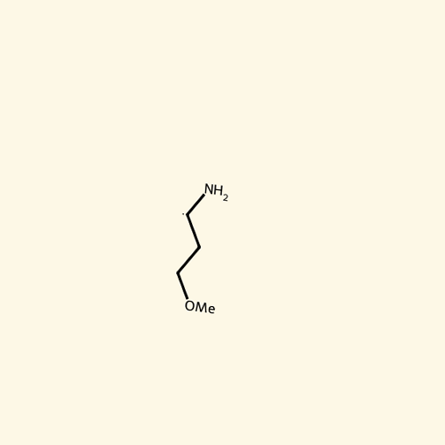 COCC[CH]N